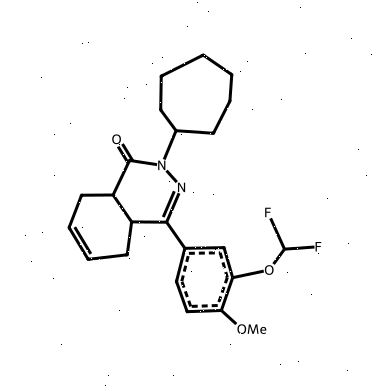 COc1ccc(C2=NN(C3CCCCCC3)C(=O)C3CC=CCC23)cc1OC(F)F